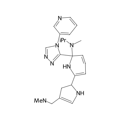 CNCC1=CNC(C2=CC=CC(c3nncn3-c3cccnc3)(N(C)C(C)C)N2)C1